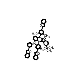 Cc1cc(-c2cc3ccccc3o2)cc(C)c1N1c2cccc3c2B(c2ccc(-c4cc5ccccc5o4)cc2N3c2cccc(-c3cc4ccccc4o3)c2)c2c1oc1c2CC(C(C)(C)C)C=C1